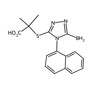 Bc1nnc(SC(C)(C)C(=O)O)n1-c1cccc2ccccc12